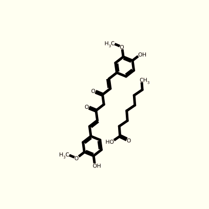 CCCCCCCC(=O)O.COc1cc(/C=C/C(=O)CC(=O)/C=C/c2ccc(O)c(OC)c2)ccc1O